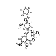 C=C1OCC(OC)N/C(c2ccc(OCc3ccccc3)c(OC)c2)=C\c2ccc(OC)c(OC)c21